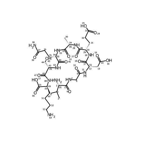 CC(C)[C@H](N)C(=O)NCC(=O)N[C@@H](CC(=O)O)C(=O)N[C@@H](CCC(=O)O)C(=O)N[C@@H](C)C(=O)N[C@@H](CCC(N)=O)C(=O)N[C@@H](CO)C(=O)N[C@@H](CCCCN)C(=O)O